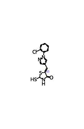 O=C1NC(S)S/C1=C\c1cnn(-c2ccccc2Cl)c1